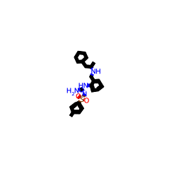 Cc1ccc(S(=O)(=O)/N=C(\N)Nc2ccccc2CNC(C)CC2CCCCC2)cc1